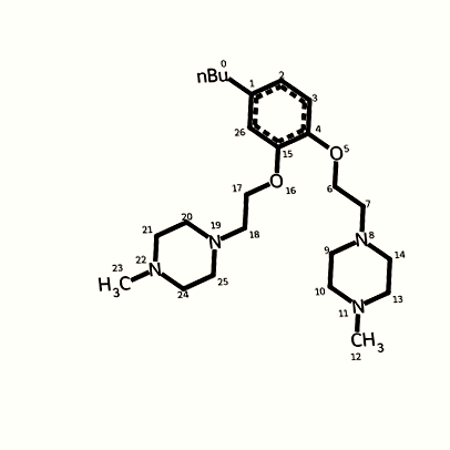 CCCCc1ccc(OCCN2CCN(C)CC2)c(OCCN2CCN(C)CC2)c1